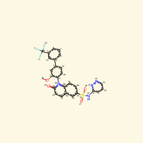 COc1cc(-c2cccc(C(F)(F)F)c2)ccc1-n1c(=O)ccc2cc(S(=O)(=O)Nc3cccnn3)ccc21